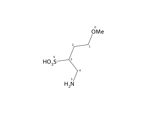 COCCC(CN)S(=O)(=O)O